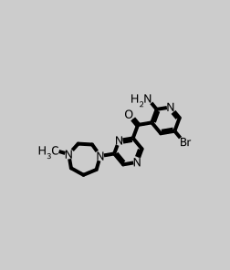 CN1CCCN(c2cncc(C(=O)c3cc(Br)cnc3N)n2)CC1